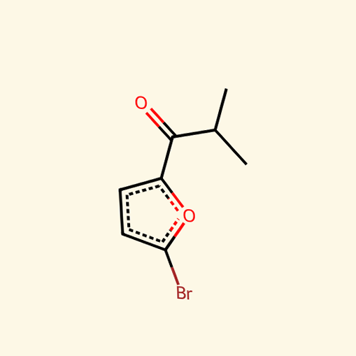 CC(C)C(=O)c1ccc(Br)o1